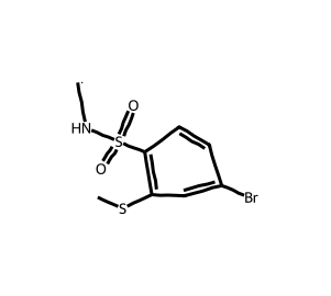 [CH2]NS(=O)(=O)c1ccc(Br)cc1SC